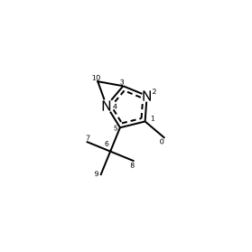 Cc1nc2n(c1C(C)(C)C)C2